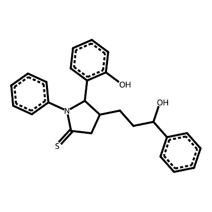 Oc1ccccc1C1C(CCC(O)c2ccccc2)CC(=S)N1c1ccccc1